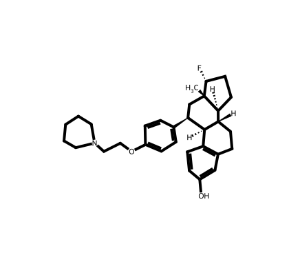 C[C@]12C[C@H](c3ccc(OCCN4CCCCC4)cc3)[C@@H]3c4ccc(O)cc4CC[C@H]3[C@@H]1CC[C@H]2F